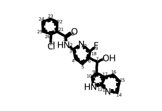 O=C(Nc1ccc(C(O)c2c[nH]c3ncccc23)c(F)n1)c1ccccc1Cl